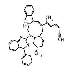 C#C\C=C/C=C(C)/C1=C/C2c3ccccc3O[C@@H]2CN(C2=NC(C3=CC=CCC3)C3C=CC=CC3=N2)C2CC(C)C=CC2C1